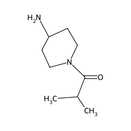 CC(C)C(=O)N1CCC(N)CC1